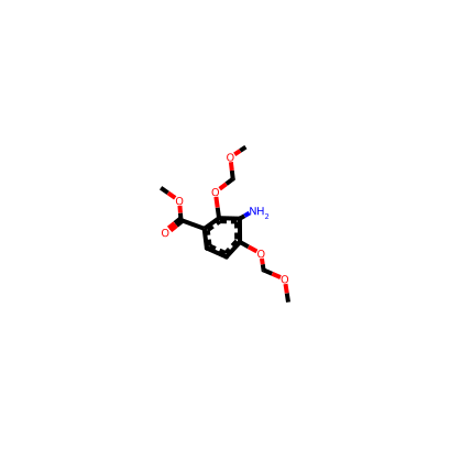 COCOc1ccc(C(=O)OC)c(OCOC)c1N